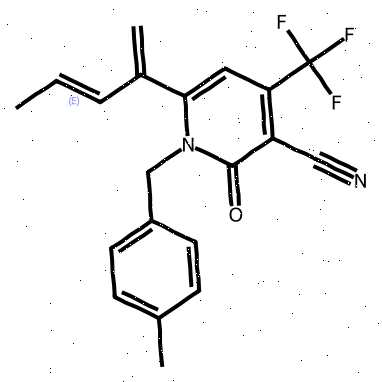 C=C(/C=C/C)c1cc(C(F)(F)F)c(C#N)c(=O)n1Cc1ccc(C)cc1